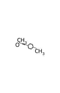 CCc1ccc(C#CC(C)=O)cc1